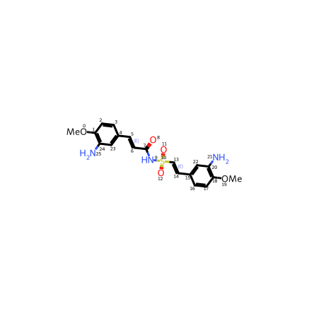 COc1ccc(/C=C/C(=O)NS(=O)(=O)/C=C/c2ccc(OC)c(N)c2)cc1N